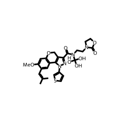 COc1cc2c(cc1C=C(C)C)-c1c(c(C(=O)N(CCN3CCOC3=O)C(O)(O)O)nn1-c1ccsc1)CO2